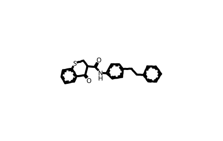 O=C(Nc1ccc(CCc2ccccc2)cc1)C1CSc2ccccc2C1=O